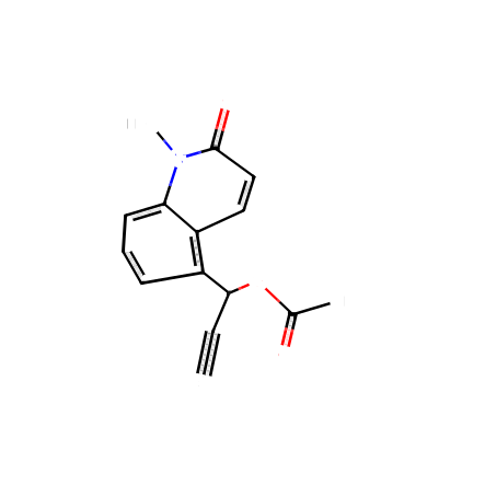 C#CC(OC(C)=O)c1cccc2c1ccc(=O)n2C